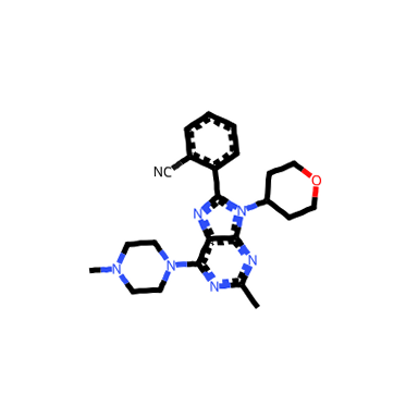 Cc1nc(N2CCN(C)CC2)c2nc(-c3ccccc3C#N)n(C3CCOCC3)c2n1